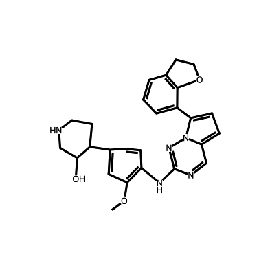 COc1cc(C2CCNCC2O)ccc1Nc1ncc2ccc(-c3cccc4c3OCC4)n2n1